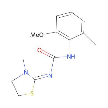 COc1cccc(C)c1NC(=O)N=C1SCCN1C